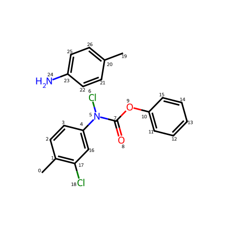 Cc1ccc(N(Cl)C(=O)Oc2ccccc2)cc1Cl.Cc1ccc(N)cc1